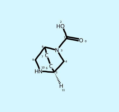 O=C(O)N1C[C@@H]2CCC1CN2